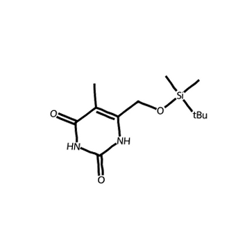 Cc1c(CO[Si](C)(C)C(C)(C)C)[nH]c(=O)[nH]c1=O